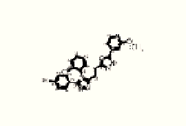 COc1cc(-c2nnc(/C=C/c3nnc(-c4ccc(F)cc4)n3-c3ccccc3Cl)o2)ccn1